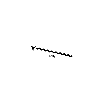 CCCCCCCCCCCCCCCCCCOC(C)=O.[SnH2]